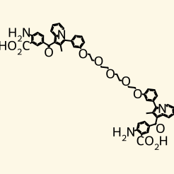 Cc1c(C(=O)c2ccc(N)c(C(=O)O)c2)c2ccccn2c1-c1cccc(OCCOCCOCCOCCOc2cccc(-c3c(C)c(C(=O)c4ccc(N)c(C(=O)O)c4)c4ccccn34)c2)c1